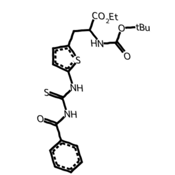 CCOC(=O)C(Cc1ccc(NC(=S)NC(=O)c2ccccc2)s1)NC(=O)OC(C)(C)C